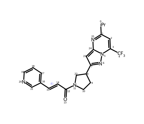 CC(C)c1cc(C(F)(F)F)n2nc(C3CCN(C(=O)/C=C/c4cccnc4)C3)cc2n1